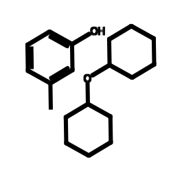 C1CCC(OC2CCCCC2)CC1.Cc1cccc(O)c1